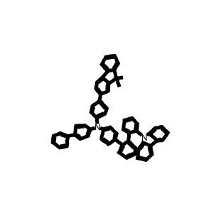 CC1(C)c2ccccc2-c2ccc(-c3ccc(N(c4ccc(-c5ccccc5)cc4)c4ccc(-c5ccccc5-c5ccccc5-n5c6ccccc6c6ccccc65)cc4)cc3)cc21